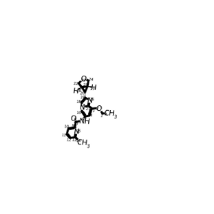 CCOc1cc(NC(=O)c2cccc(C)n2)cn2cc([C@@H]3[C@@H]4COC[C@@H]43)nc12